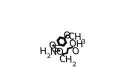 C=CCCC(=O)O.COc1ccc(S(N)(=O)=O)cc1